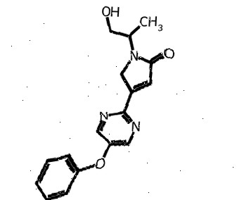 CC(CO)N1CC(c2ncc(Oc3ccccc3)cn2)=CC1=O